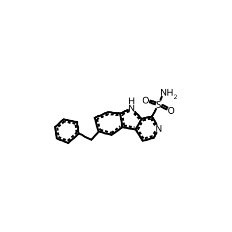 NS(=O)(=O)c1nccc2c1[nH]c1ccc(Cc3ccccc3)cc12